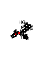 N#CC1CC2CCC(C1)N2CC1(COc2nc(N3CC4CCC(C3)N4)c3ccc(-c4cc(O)cc5ccc(F)c(F)c45)c(F)c3n2)CC1